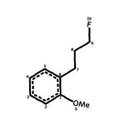 COc1ccccc1CCCF